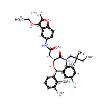 CCOC(=O)c1oc2ccc(NC(=O)C[C@H]3O[C@H](c4cccc(OC)c4OC)c4cc(Cl)ccc4N(CC(C)(C)COC(C)=O)C3=O)cc2c1OCC(=O)O